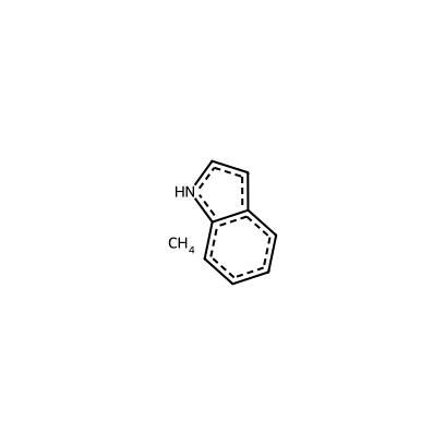 C.c1ccc2[nH]ccc2c1